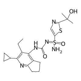 CCc1c(C2CC2)nc2c(c1NC(=O)N=S(N)(=O)c1cnc(C(C)(C)O)s1)CCC2